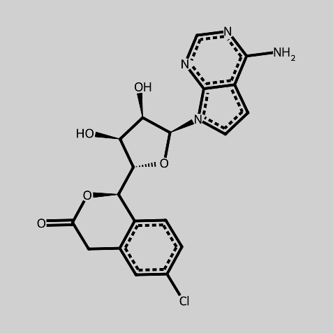 Nc1ncnc2c1ccn2[C@H]1O[C@H]([C@@H]2OC(=O)Cc3cc(Cl)ccc32)[C@@H](O)[C@H]1O